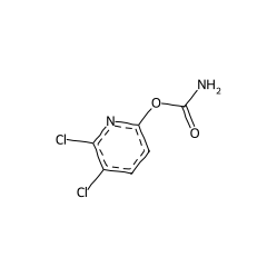 NC(=O)Oc1ccc(Cl)c(Cl)n1